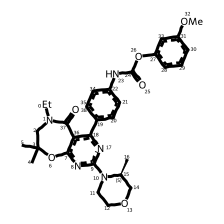 CCN1CC(C)(C)Oc2nc(N3CCOC[C@@H]3C)nc(-c3ccc(NC(=O)Oc4cccc(OC)c4)cc3)c2C1=O